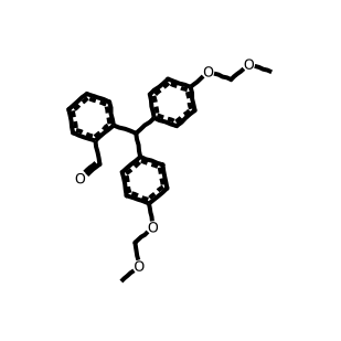 COCOc1ccc(C(c2ccc(OCOC)cc2)c2ccccc2C=O)cc1